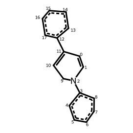 C1=CN(c2ccccc2)CC=C1c1ccccc1